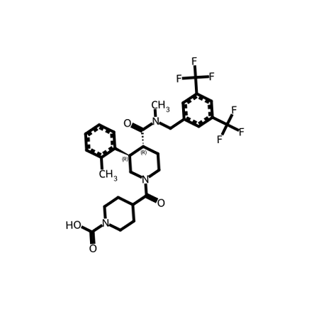 Cc1ccccc1[C@@H]1CN(C(=O)C2CCN(C(=O)O)CC2)CC[C@H]1C(=O)N(C)Cc1cc(C(F)(F)F)cc(C(F)(F)F)c1